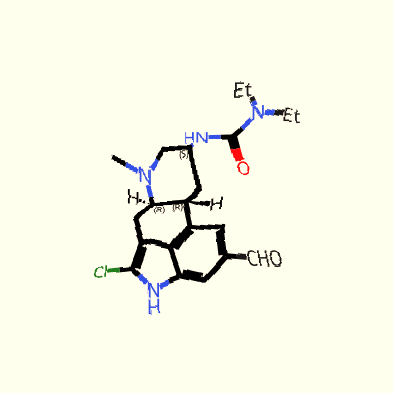 CCN(CC)C(=O)N[C@H]1C[C@@H]2c3cc(C=O)cc4[nH]c(Cl)c(c34)C[C@H]2N(C)C1